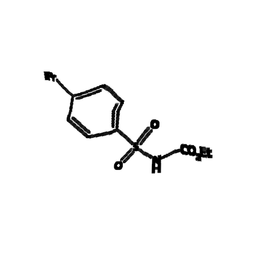 CCOC(=O)NS(=O)(=O)c1ccc(C(C)C)cc1